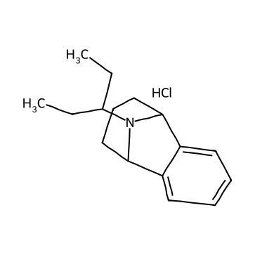 CCC(CC)N1C2CCCC1c1ccccc12.Cl